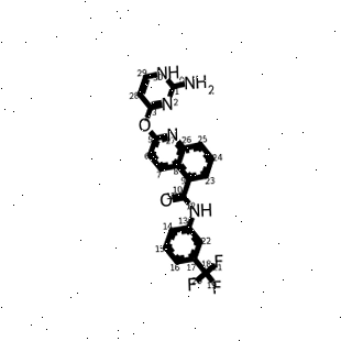 NC1N=C(Oc2ccc3c(C(=O)Nc4cccc(C(F)(F)F)c4)cccc3n2)C=CN1